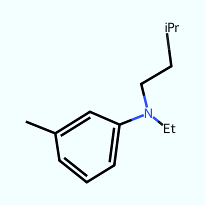 CCN(CCC(C)C)c1cccc(C)c1